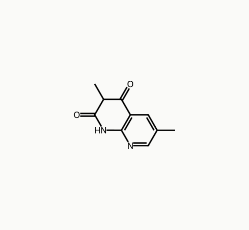 Cc1cnc2c(c1)C(=O)C(C)C(=O)N2